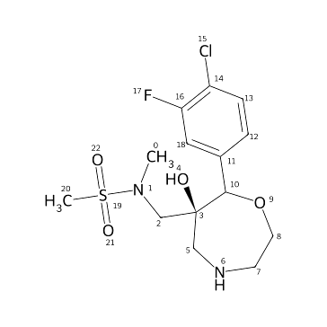 CN(C[C@@]1(O)CNCCOC1c1ccc(Cl)c(F)c1)S(C)(=O)=O